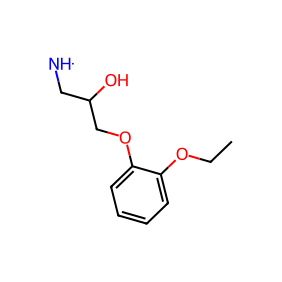 CCOc1ccccc1OCC(O)C[NH]